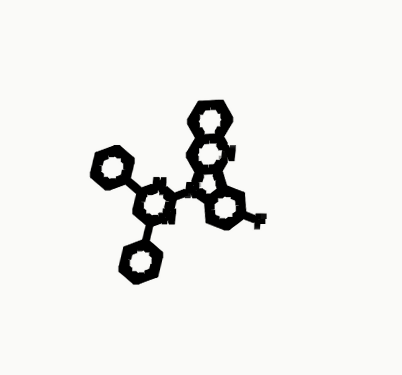 Fc1ccc2c(c1)c1nc3ccccc3cc1n2-c1nc(-c2ccccc2)cc(-c2ccccc2)n1